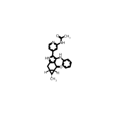 CC(=O)Nc1cc(-c2[nH]c3c(c2Nc2ccccc2)C(=O)[C@@H]2[C@H](C)[C@@H]2C3)ccn1